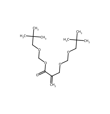 C=C(COCOCC(C)(C)C)C(=O)OCOCC(C)(C)C